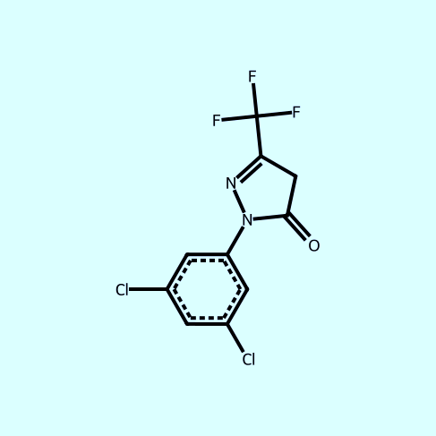 O=C1CC(C(F)(F)F)=NN1c1cc(Cl)cc(Cl)c1